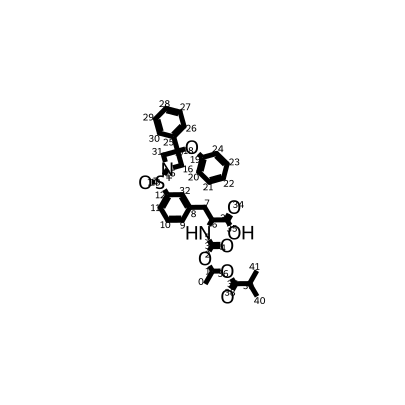 CC(OC(=O)NC(Cc1cccc([S+]([O-])N2CC(Oc3ccccc3)(c3ccccc3)C2)c1)C(=O)O)OC(=O)C(C)C